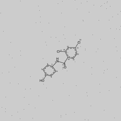 O=C(Nc1ccc(O)cc1)c1ccc(Cl)cc1Cl